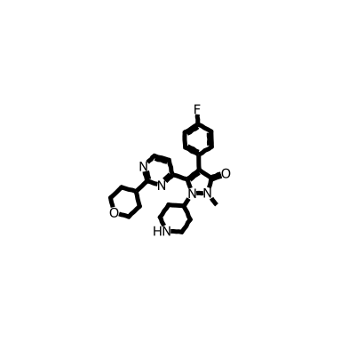 Cn1c(=O)c(-c2ccc(F)cc2)c(-c2ccnc(C3CCOCC3)n2)n1C1CCNCC1